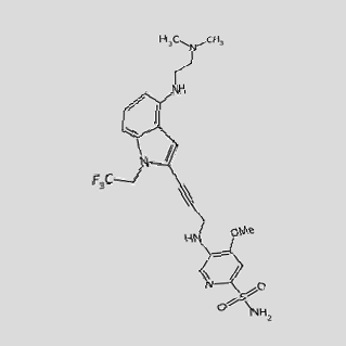 COc1cc(S(N)(=O)=O)ncc1NCC#Cc1cc2c(NCCN(C)C)cccc2n1CC(F)(F)F